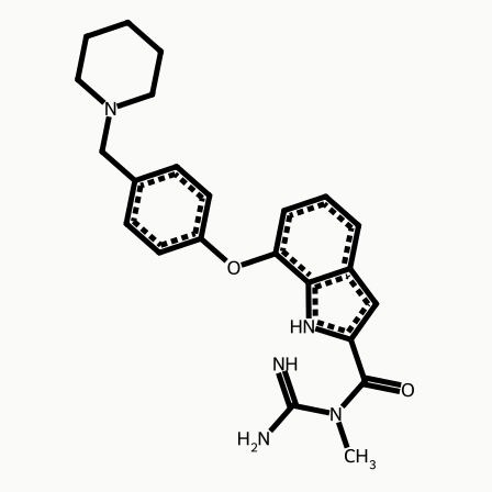 CN(C(=N)N)C(=O)c1cc2cccc(Oc3ccc(CN4CCCCC4)cc3)c2[nH]1